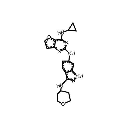 c1cc2nc(Nc3ccc4c(NC5CCOCC5)n[nH]c4c3)nc(NC3CC3)c2o1